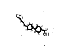 CCCCCCC1CC=C(c2ccc(C(=O)O)cc2)CC1